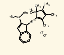 CC1=C(C)C(C)(C)[C]([Hf+2][CH]2C(P(C(C)(C)C)C(C)(C)C)=Cc3ccccc32)=C1C.[Cl-].[Cl-]